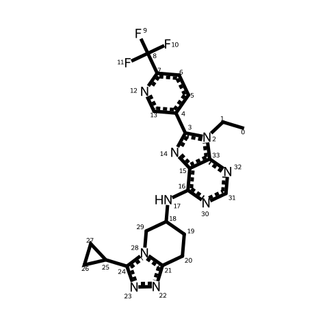 CCn1c(-c2ccc(C(F)(F)F)nc2)nc2c(NC3CCc4nnc(C5CC5)n4C3)ncnc21